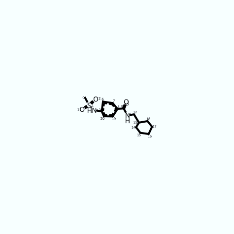 CS(=O)(=O)Nc1ccc(C(=O)NCC2CCCCC2)cc1